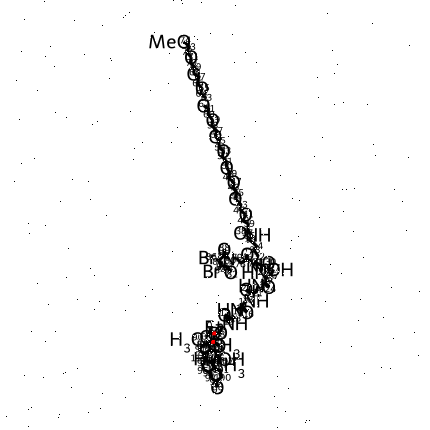 CCC(=O)O[C@]1(C(=O)COCNC(=O)CNC(=O)CNC(=O)CNC(=O)[C@H](CO)NC(=O)[C@H](CCCCNC(=O)CCOCCOCCOCCOCCOCCOCCOCCOCCOCCOCCOCCOC)NC(=O)CCN2C(=O)C(Br)=C(Br)C2=O)[C@@H](C)CC2[C@@H]3CCC4=CC(=O)C=C[C@]4(C)[C@@]3(Cl)[C@@H](O)C[C@@]21C